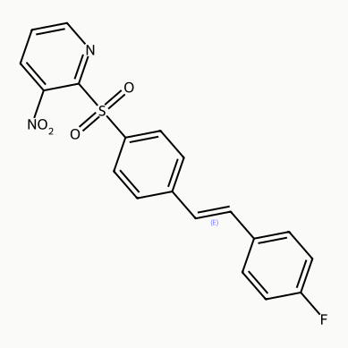 O=[N+]([O-])c1cccnc1S(=O)(=O)c1ccc(/C=C/c2ccc(F)cc2)cc1